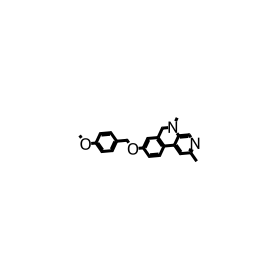 COc1ccc(COc2ccc3c(c2)CN(C)c2cnc(C)cc2-3)cc1